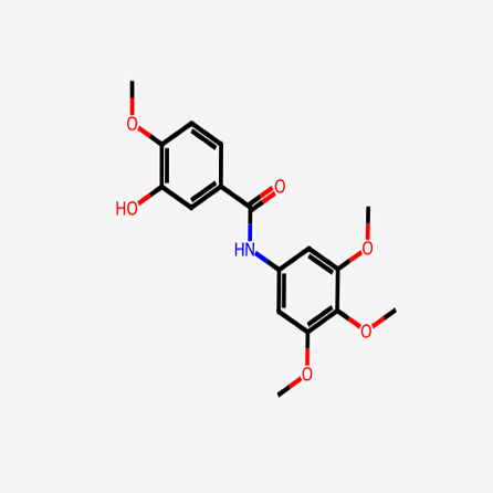 COc1ccc(C(=O)Nc2cc(OC)c(OC)c(OC)c2)cc1O